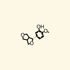 COc1ccc([C@@H]2OCC3COCC32)cc1O